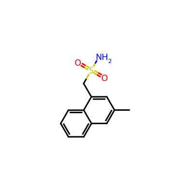 Cc1cc(CS(N)(=O)=O)c2ccccc2c1